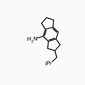 CC(C)CC1Cc2cc3c(c(N)c2C1)CCC3